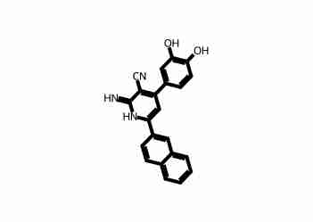 N#Cc1c(-c2ccc(O)c(O)c2)cc(-c2ccc3ccccc3c2)[nH]c1=N